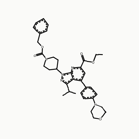 CCOC(=O)c1cc(-c2ccc(N3CCOCC3)cc2)c2c(C(C)C)nn(C3CCN(C(=O)OCc4ccccc4)CC3)c2n1